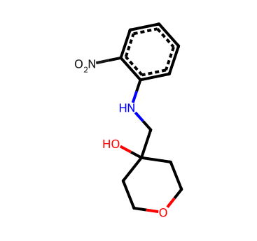 O=[N+]([O-])c1ccccc1NCC1(O)CCOCC1